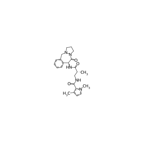 Cc1ccn(C)c1C(=O)NC[C@@H](C)C(=O)N[C@@H]1C(=O)N2CCCN2Cc2ccccc21